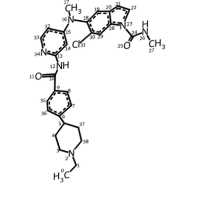 CCN1CCC(c2ccc(C(=O)Nc3cc(N(C)c4cc5ccn(C(=O)NC)c5cc4Cl)ccn3)cc2)CC1